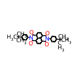 CC(C)(C)c1ccc(N2C(=O)c3ccc4c5c(ccc(c35)C2=O)C(=O)N(c2ccc(C(C)(C)C)cc2)C4=O)cc1